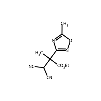 CCOC(=O)C(C)(c1noc(C)n1)C(C#N)C#N